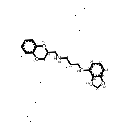 c1ccc2c(c1)OCC(CNCCCOc1cccc3c1OCO3)O2